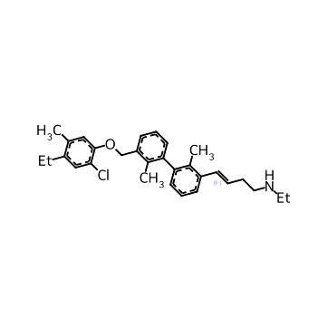 CCNCC/C=C/c1cccc(-c2cccc(COc3cc(C)c(CC)cc3Cl)c2C)c1C